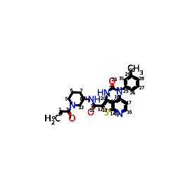 C=CC(=O)N1CCC[C@@H](NC(=O)c2sc3nccc4c3c2NC(=O)N4c2cccc(C)c2)C1